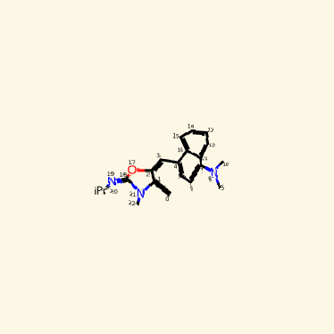 C=c1/c(=C\c2ccc(N(C)C)c3ccccc23)o/c(=N/C(C)C)n1C